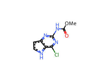 COC(=O)Nc1nc(Cl)c2[nH]ccc2n1